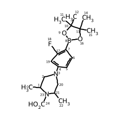 CC1CN(c2ccc(B3OC(C)(C)C(C)(C)O3)c(F)c2)CC(C)N1C(=O)O